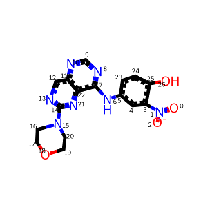 O=[N+]([O-])c1cc(Nc2ncnc3cnc(N4CCOCC4)nc23)ccc1O